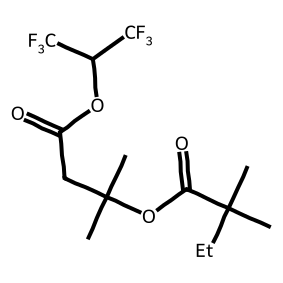 CCC(C)(C)C(=O)OC(C)(C)CC(=O)OC(C(F)(F)F)C(F)(F)F